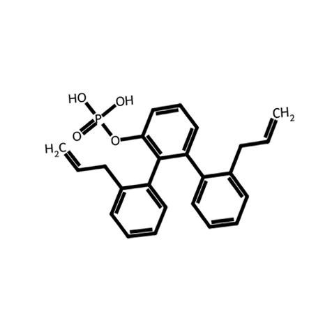 C=CCc1ccccc1-c1cccc(OP(=O)(O)O)c1-c1ccccc1CC=C